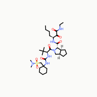 CCCC[C@H](NC(=O)[C@@H]1[C@H]2CCC[C@H]2CN1C(=O)[C@@H](NC(=O)NC1(CS(=O)(=O)N(C)C)CCCCC1)C(C)(C)C)C(=O)C(=O)NCC